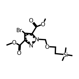 COC(=O)c1nn(COCC[Si](C)(C)C)c(C(=O)OC)c1Br